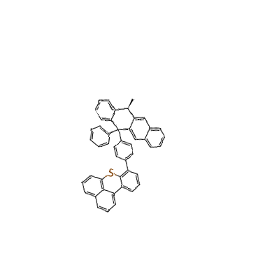 C[C@@H]1c2ccccc2C(c2ccccc2)(c2ccc(-c3cccc4c3Sc3cccc5cccc-4c35)cc2)c2cc3ccccc3cc21